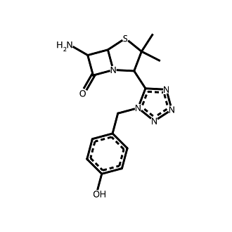 CC1(C)SC2C(N)C(=O)N2C1c1nnnn1Cc1ccc(O)cc1